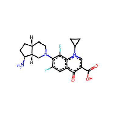 N[C@H]1CC[C@@H]2CCN(c3c(F)cc4c(=O)c(C(=O)O)cn(C5CC5)c4c3F)C[C@@H]21